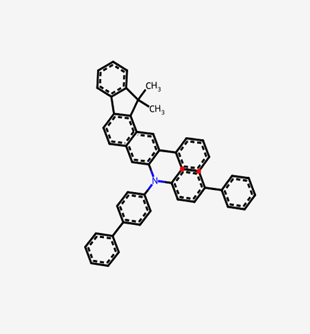 CC1(C)c2ccccc2-c2ccc3cc(N(c4ccc(-c5ccccc5)cc4)c4ccc(-c5ccccc5)cc4)c(-c4ccccc4)cc3c21